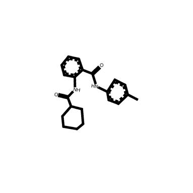 Cc1ccc(NC(=O)c2ccccc2NC(=O)C2CCCCC2)cc1